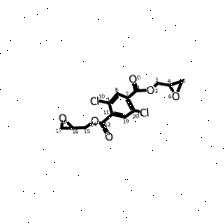 O=C(OCC1CO1)c1cc(Cl)c(C(=O)OCC2CO2)cc1Cl